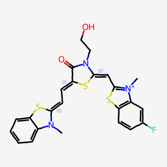 CN1/C(=C/C=c2\s/c(=C\c3sc4ccc(F)cc4[n+]3C)n(CCO)c2=O)Sc2ccccc21